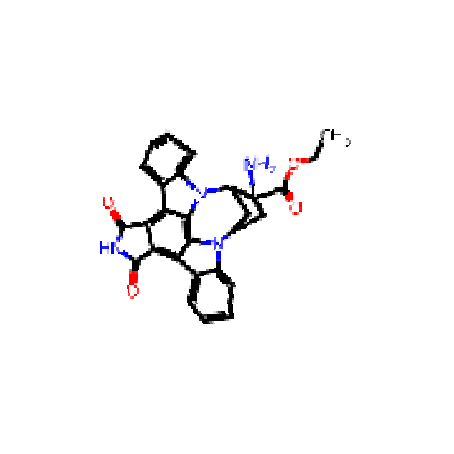 CCOC(=O)[C@]1(N)CC2CC1n1c3ccccc3c3c4c(c5c6ccccc6n2c5c31)C(=O)NC4=O